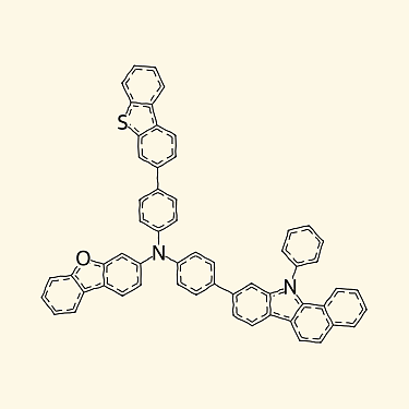 c1ccc(-n2c3cc(-c4ccc(N(c5ccc(-c6ccc7c(c6)sc6ccccc67)cc5)c5ccc6c(c5)oc5ccccc56)cc4)ccc3c3ccc4ccccc4c32)cc1